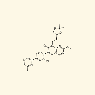 CSc1ncc2cc(-c3ccc(-c4cncc(C)n4)cc3Cl)c(=O)n(CC[C@H]3COC(C)(C)O3)c2n1